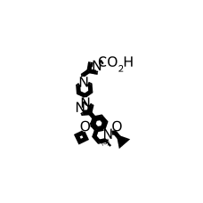 C[C@H]1CCc2c(ccc(-c3cnn(C4CCN(CC5CN(C(=O)O)C5)CC4)c3)c2OC2CCC2)N1C(=O)C1CC1